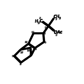 CC(=O)OC(C)(C)C1CC2C3CCC(C3)C2C1